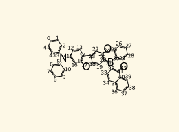 c1ccc(N(c2ccccc2)c2ccc3c(c2)oc2cc4c(cc23)Oc2cccc3c2B4c2ccc4ccccc4c2O3)cc1